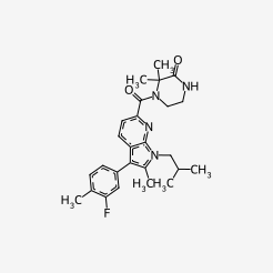 Cc1ccc(-c2c(C)n(CC(C)C)c3nc(C(=O)N4CCNC(=O)C4(C)C)ccc23)cc1F